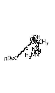 CCCCCCCCCCCCCCCCSCCCOP(=O)(O)CO[C@H](C)Cn1cnc2c(N)ncnc21